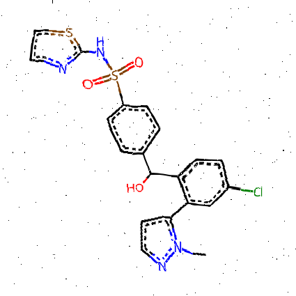 Cn1nccc1-c1cc(Cl)ccc1C(O)c1ccc(S(=O)(=O)Nc2nccs2)cc1